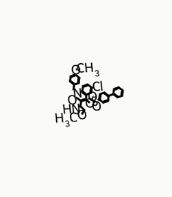 COc1ccc(Cn2c(=O)c(C3COC(C)N3)c(OS(=O)(=O)c3ccc(-c4ccccc4)cc3)c3cc(Cl)ccc32)cc1